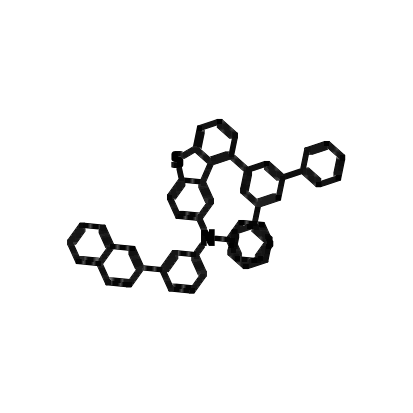 c1ccc(-c2cc(-c3ccccc3)cc(-c3cccc4sc5ccc(N(c6ccccc6)c6cccc(-c7ccc8ccccc8c7)c6)cc5c34)c2)cc1